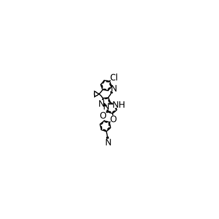 N#Cc1cccc(Oc2c[nH]c3c(C#N)c(C4(c5ccc(Cl)cc5)CC4)nn3c2=O)c1